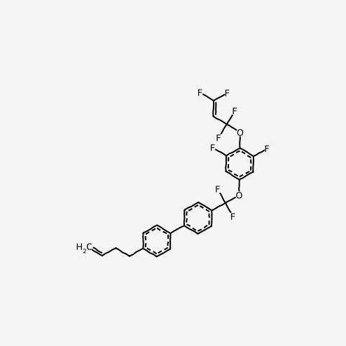 C=CCCc1ccc(-c2ccc(C(F)(F)Oc3cc(F)c(OC(F)(F)C=C(F)F)c(F)c3)cc2)cc1